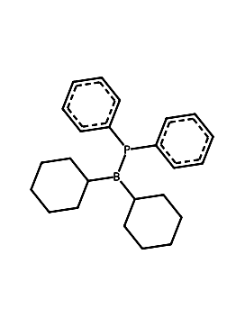 c1ccc(P(B(C2CCCCC2)C2CCCCC2)c2ccccc2)cc1